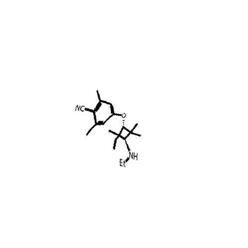 CCN[C@H]1C(C)(C)[C@H](Oc2cc(C)c(C#N)c(C)c2)C1(C)C